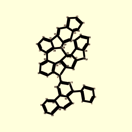 c1ccc(-c2nc(-n3c4cccc5c6cccc7c8cc9ccccc9cc8n(c67)c6c7c(cc3c6c54)sc3ccccc37)nc3c2ccc2ccccc23)cc1